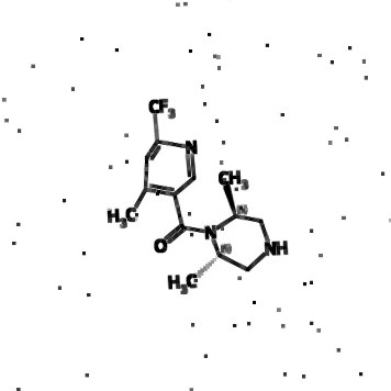 Cc1cc(C(F)(F)F)ncc1C(=O)N1[C@@H](C)CNC[C@@H]1C